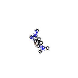 c1ccc(-c2cc(-c3cccc(C4(c5cccc(-c6cc(-c7ccccn7)nc(-c7ccccn7)c6)c5)c5ccccc5Sc5ccccc54)c3)nc(-c3ccccc3)n2)cc1